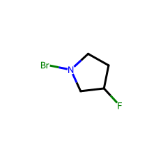 FC1CCN(Br)C1